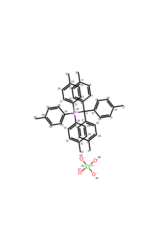 Cc1ccc(C(c2ccc(C)cc2)(c2ccc(C)cc2)[P+](c2ccc(C)cc2)(c2ccc(C)cc2)c2ccc(C)cc2)cc1.[O-][Cl+3]([O-])([O-])[O-]